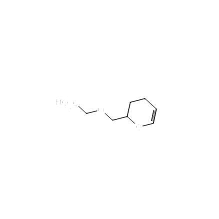 O=C(O)COCC1CCC=CO1